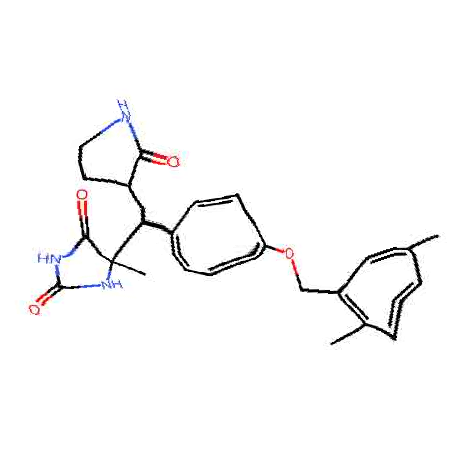 Cc1ccc(C)c(COc2ccc(C(C3CCNC3=O)C3(C)NC(=O)NC3=O)cc2)c1